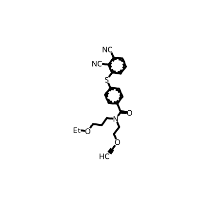 C#COCCN(CCCOCC)C(=O)c1ccc(Sc2cccc(C#N)c2C#N)cc1